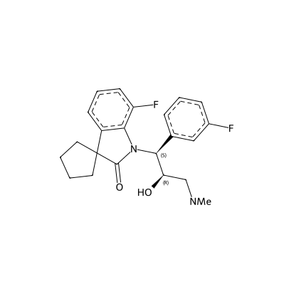 CNC[C@@H](O)[C@H](c1cccc(F)c1)N1C(=O)C2(CCCC2)c2cccc(F)c21